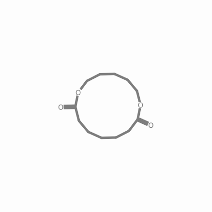 O=C1CCCCCC(=O)OCCCCCO1